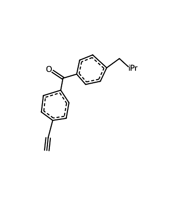 C#Cc1ccc(C(=O)c2ccc(CC(C)C)cc2)cc1